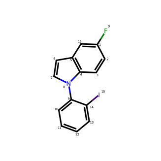 Fc1ccc2c(ccn2-c2ccccc2I)c1